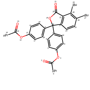 CCCC(=O)Oc1ccc(C2(c3ccc(OC(=O)CCC)cc3)OC(=O)c3c2ccc(C(C)CC)c3C(C)CC)cc1